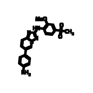 COc1cc(S(C)(=O)=O)ccc1Nc1nc2ccc(-c3ccc(N)cc3)cn2n1